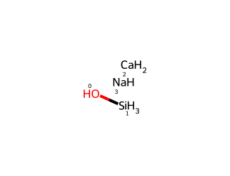 O[SiH3].[CaH2].[NaH]